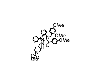 COc1ccc(C(=O)C(C(=O)NCC2CCN(C(=O)OC(C)(C)C)CC2)N(Cc2ccc(OC)cc2OC)c2ccccc2Oc2ccccc2)cc1